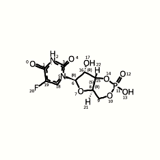 O=c1[nH]c(=O)n([C@@H]2O[C@@H]3COP(=O)(O)O[C@H]3[C@H]2O)cc1F